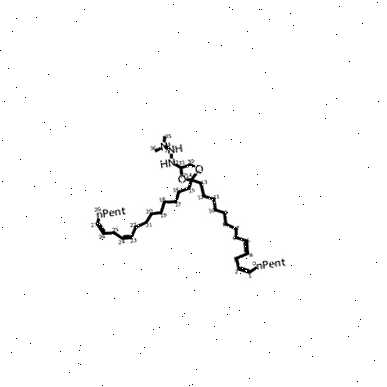 CCCCC/C=C\C/C=C\CCCCCCCCC1(CCCCCCCC/C=C\C/C=C\CCCCC)OCC(NNN(C)C)O1